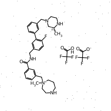 C[C@H]1CN(Cc2cccc(-c3cc(CNC(=O)c4cccc(C[N+]5(C)CCCNCC5)c4)ccc3F)c2)CCN1.O=C(O)C(F)(F)F.O=C([O-])C(F)(F)F